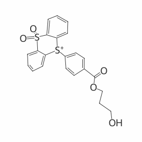 O=C(OCCCO)c1ccc([S+]2c3ccccc3S(=O)(=O)c3ccccc32)cc1